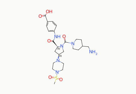 CS(=O)(=O)N1CCN([C@H]2C[C@@H](C(=O)Nc3ccc(C(=O)O)cc3)N(C(=O)N3CCC(CN)CC3)C2)CC1